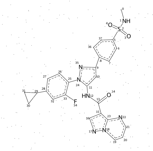 CNS(=O)(=O)c1ccc(-c2cc(NC(=O)c3cnn4cccnc34)n(-c3ccc(C4CC4)cc3F)n2)cc1